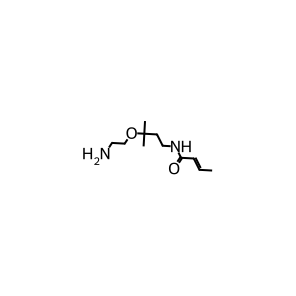 C/C=C/C(=O)NCCC(C)(C)OCCN